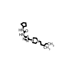 CCC(C)CCN1CCN(c2nnc(NC(=O)NC3CCCC3)s2)CC1